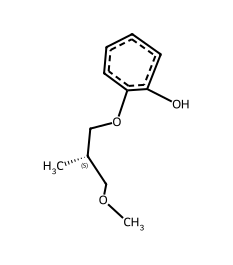 COC[C@H](C)COc1ccccc1O